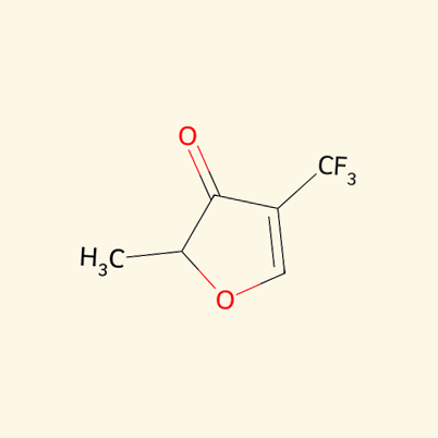 CC1OC=C(C(F)(F)F)C1=O